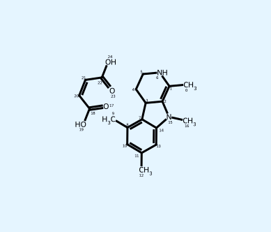 CC1=C2C(CCN1)c1c(C)cc(C)cc1N2C.O=C(O)/C=C\C(=O)O